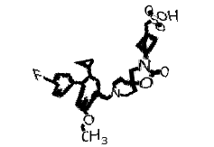 CCOc1cc(-c2ccc(F)cc2)c(C2CC2)cc1CN1CCC2(CC1)CN(C13CC(CS(=O)(=O)O)(C1)C3)C(=O)O2